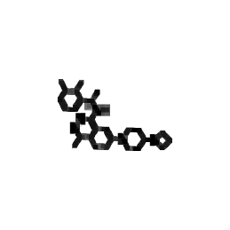 Cc1cccc([C@@H](C)Nc2nnc(C)c3ccc(N4CCC(N5CCC5)CC4)cc23)c1C